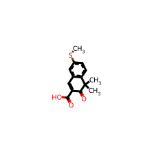 CSc1ccc2c(c1)C=C(C(=O)O)C(=O)C2(C)C